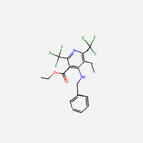 CCOC(=O)c1c(C(F)(F)F)nc(C(F)(F)Cl)c(CC)c1NCc1ccccc1